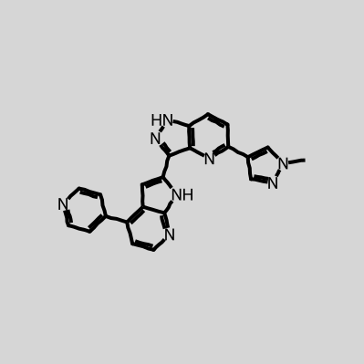 Cn1cc(-c2ccc3[nH]nc(-c4cc5c(-c6ccncc6)ccnc5[nH]4)c3n2)cn1